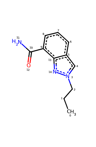 CCCn1cc2cccc(C(N)=O)c2n1